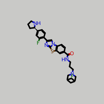 O=C(NCCCN1CC2CC(C1)C2F)c1ccc2c(c1)sc1nc(-c3ccc([C@H]4CCCN4)cc3F)cn12